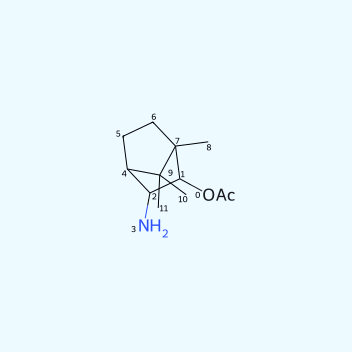 CC(=O)OC1C(N)C2CCC1(C)C2(C)C